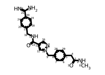 CNC(=O)Cc1ccc(Cn2cc(C(=O)NCc3ccc(C(=N)N)cc3)cn2)cc1